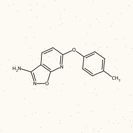 Cc1ccc(Oc2ccc3c(N)noc3n2)cc1